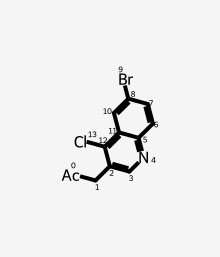 CC(=O)Cc1cnc2ccc(Br)cc2c1Cl